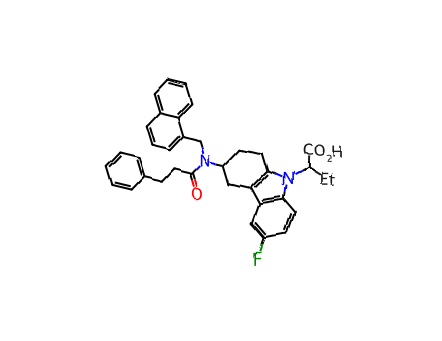 CCC(C(=O)O)n1c2c(c3cc(F)ccc31)CC(N(Cc1cccc3ccccc13)C(=O)CCc1ccccc1)CC2